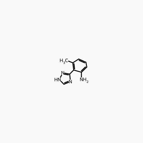 Cc1cccc(N)c1-c1nc[nH]n1